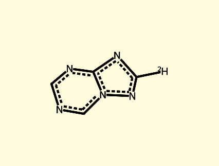 [2H]c1nc2ncncn2n1